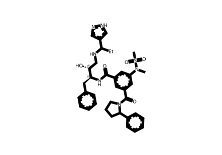 CCC(NC[C@@H](O)[C@H](Cc1ccccc1)NC(=O)c1cc(C(=O)N2CCCC2c2ccccc2)cc(N(C)S(C)(=O)=O)c1)c1cn[nH]c1